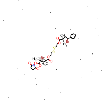 CC(C)(CC(Br)c1ccccc1)C(=O)OCCSSCCOC(=O)C(C)(C)CC(C)(Br)C(=O)ON1C(=O)CCC1=O